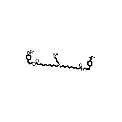 CCCC1CCC(/C=C\COC(=O)CCCCCCCCCP(CCCCCCCCCC(=O)OC/C=C\C2CCC(CCC)CC2)CCCCN(C)C)CC1